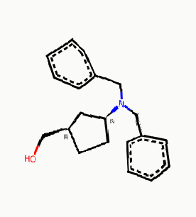 OC[C@@H]1CC[C@H](N(Cc2ccccc2)Cc2ccccc2)C1